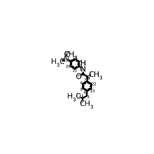 CC(C)Cc1ccc([C@@H](C)C(=O)Nc2ccc(N(C)C)cc2)cc1